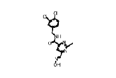 Cc1nc(/C=N/O)cc(C(=O)NCc2ccc(Cl)c(Cl)c2)n1